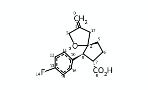 C=C1CO[C@]2(CC[C@H](C(=O)O)[C@H]2c2ccc(F)cc2)C1